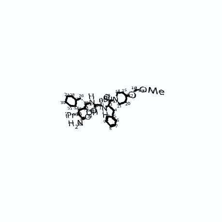 CCCC[C@H](NC(Cc1ccccc1)C(=O)N1CCC(OCOC)CC1)C(=O)N[C@@H](CC1CCCCC1)[C@@H](O)C[C@H](C(N)=O)C(C)C